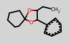 [CH2]CC1OC2(CCCCC2)OC1c1ccccc1